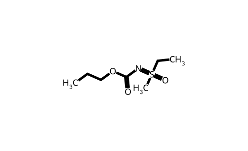 CCCOC(=O)N=S(C)(=O)CC